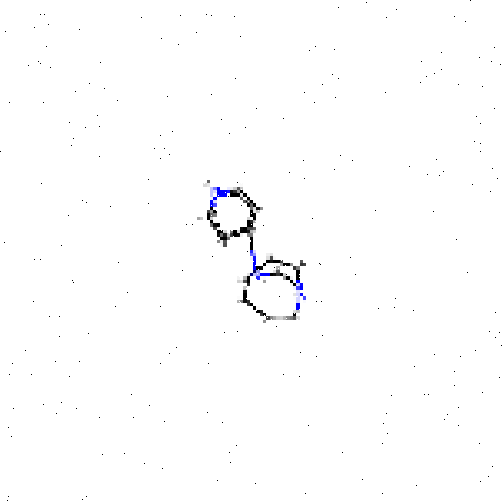 c1cc(N2CCN3CCCC2CC3)ccn1